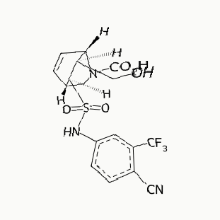 N#Cc1ccc(NS(=O)(=O)[C@@H]2[C@H](CO)[C@@H]3C=C[C@H]2CN3C(=O)O)cc1C(F)(F)F